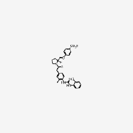 Cc1cc(CC(=O)N2CCC[C@]2(F)COc2ccc(C(=O)O)cc2)ccc1NC(=O)Nc1ccccc1Cl